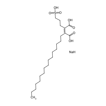 CCCCCCCCCCCCCCCC/C(C(=O)O)=C(\CCCS(=O)(=O)O)C(=O)O.[NaH]